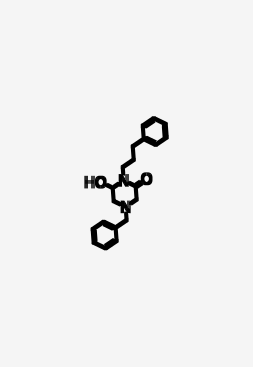 O=C1CN(Cc2ccccc2)CC(O)N1CCCc1ccccc1